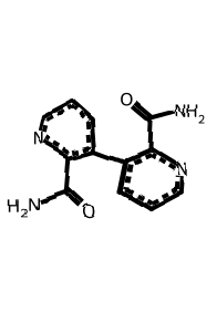 NC(=O)c1ncccc1-c1cccnc1C(N)=O